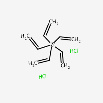 C=[CH][Zr]([CH]=C)([CH]=C)([CH]=C)[CH]=C.Cl.Cl